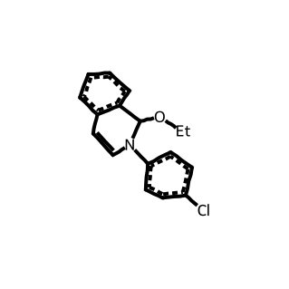 CCOC1c2ccccc2C=CN1c1ccc(Cl)cc1